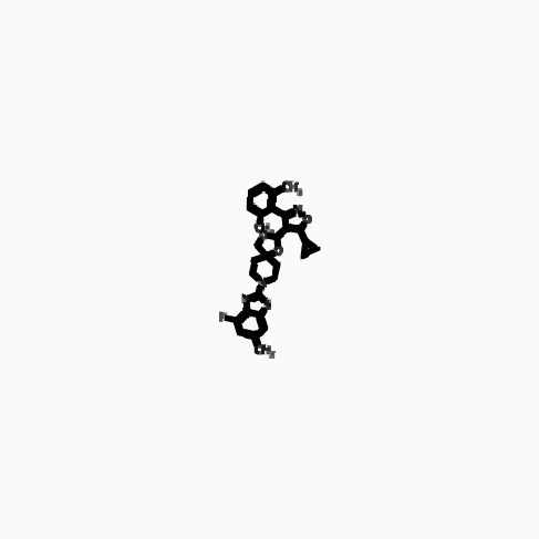 Cc1cc(F)c2nc(N3CCC4(CC3)COC(c3c(-c5c(C)cccc5C)noc3C3CC3)O4)sc2c1